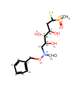 C[PH](=O)C(F)C[C@@H](O)[C@@H](O)[C@@H](O)CN(C=O)OCc1ccccc1